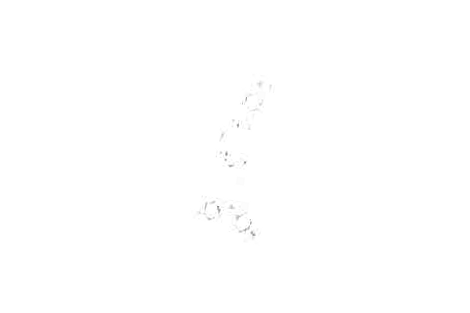 CC(C)c1ccc(C(=O)NC/C=C\CNC(=O)CCCCC(c2ccc(F)cc2)c2ccc(F)cc2)cc1